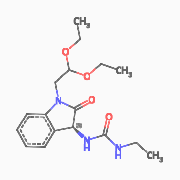 CCNC(=O)N[C@@H]1C(=O)N(CC(OCC)OCC)c2ccccc21